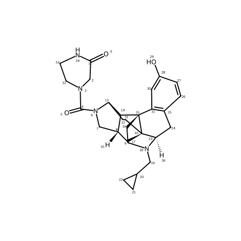 O=C1CN(C(=O)N2C[C@H]3C[C@@]45CCC2C3[C@@]42CCN(CC3CC3)[C@@H]5Cc3ccc(O)cc32)CCN1